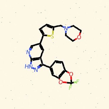 FC1(F)Oc2ccc(-c3n[nH]c4ncc(-c5ccc(CN6CCOCC6)s5)cc34)cc2O1